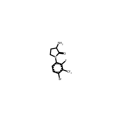 NC1CCN(c2ccc(Br)c(C(F)(F)F)c2F)C1=O